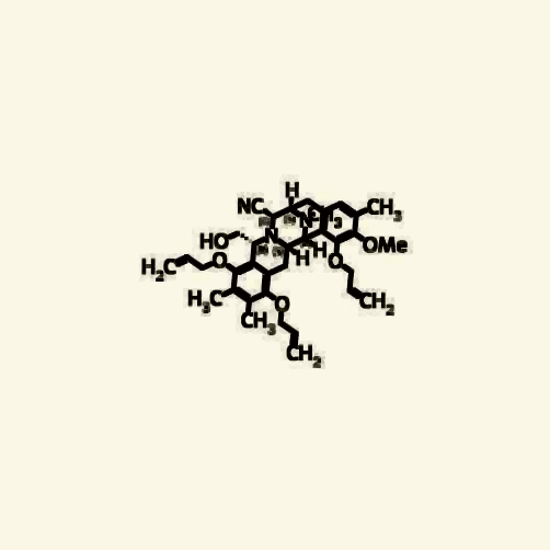 C=CCOc1c(C)c(C)c(OCC=C)c2c1C[C@H]1[C@H]3c4c(cc(C)c(OC)c4OCC=C)C[C@@H]([C@H](C#N)N1[C@H]2CO)N3C